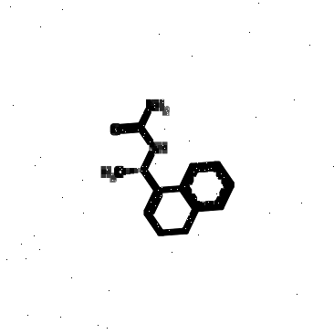 C[C@H](NC(N)=O)C1=CCCc2ccccc21